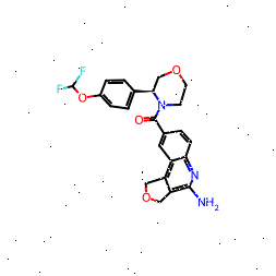 Nc1nc2ccc(C(=O)N3CCOC[C@@H]3c3ccc(OC(F)F)cc3)cc2c2c1COC2